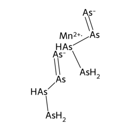 [As-]=[As][AsH][AsH2].[As-]=[As][AsH][AsH2].[Mn+2]